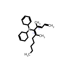 C=C/C=C(C)/C(=C(\C)CCCCC)N(C1C=CC=CC1)C1CC=CCC1